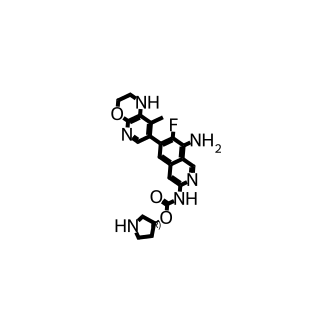 Cc1c(-c2cc3cc(NC(=O)O[C@@H]4CCNC4)ncc3c(N)c2F)cnc2c1NCCO2